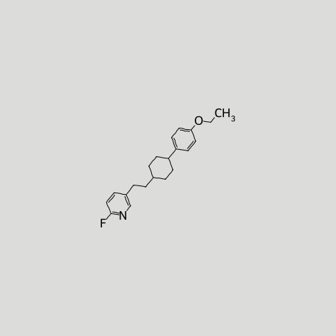 CCOc1ccc(C2CCC(CCc3ccc(F)nc3)CC2)cc1